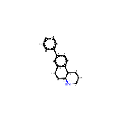 c1ccc(-c2ccc3c(c2)CCC2NCCCC32)cc1